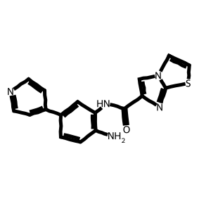 Nc1ccc(-c2ccncc2)cc1NC(=O)c1cn2ccsc2n1